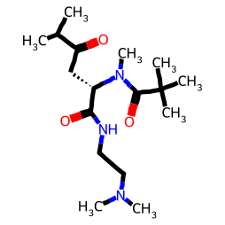 CC(C)C(=O)C[C@@H](C(=O)NCCN(C)C)N(C)C(=O)C(C)(C)C